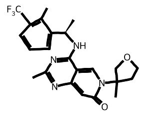 Cc1nc(N[C@H](C)c2cccc(C(F)(F)F)c2C)c2cn(C3(C)CCOC3)c(=O)cc2n1